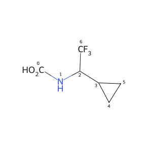 O=C(O)NC(C1CC1)C(F)(F)F